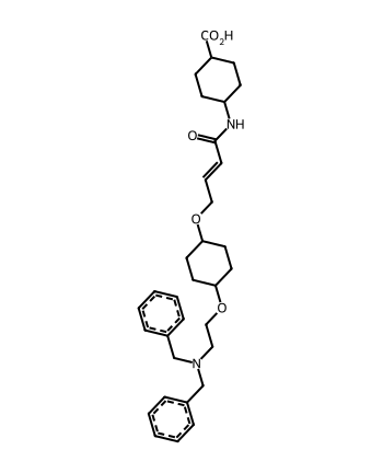 O=C(/C=C/COC1CCC(OCCN(Cc2ccccc2)Cc2ccccc2)CC1)NC1CCC(C(=O)O)CC1